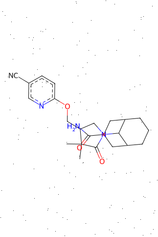 CC1(C)C(=O)N(C2C3CCCC2CC(C(N)=O)C3)CC1COc1ccc(C#N)cn1